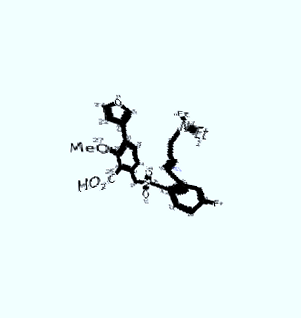 CCN(CC)C/C=C/c1cc(F)ccc1S(=O)(=O)Cc1ccc(-c2ccoc2)c(OC)c1C(=O)O